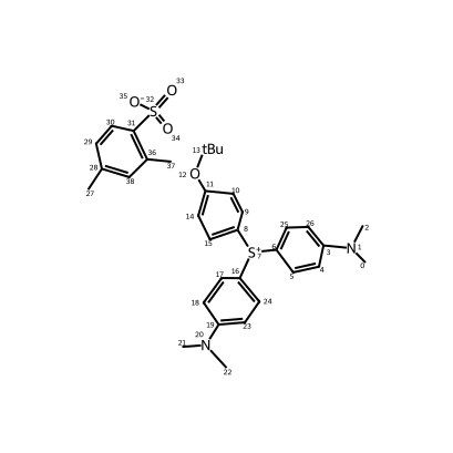 CN(C)c1ccc([S+](c2ccc(OC(C)(C)C)cc2)c2ccc(N(C)C)cc2)cc1.Cc1ccc(S(=O)(=O)[O-])c(C)c1